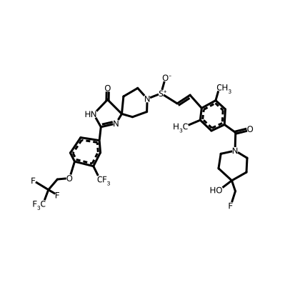 Cc1cc(C(=O)N2CCC(O)(CF)CC2)cc(C)c1/C=C/[S+]([O-])N1CCC2(CC1)N=C(c1ccc(OCC(F)(F)C(F)(F)F)c(C(F)(F)F)c1)NC2=O